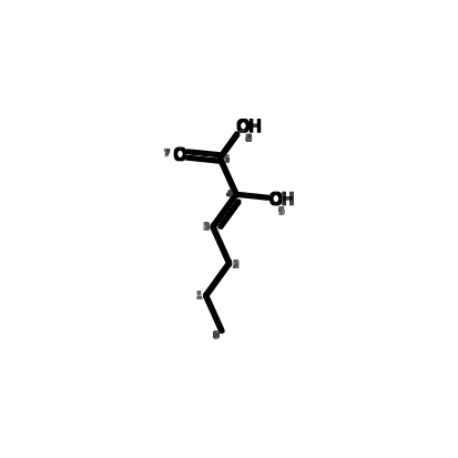 CCCC=C(O)C(=O)O